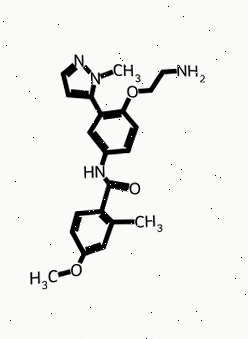 COc1ccc(C(=O)Nc2ccc(OCCN)c(-c3ccnn3C)c2)c(C)c1